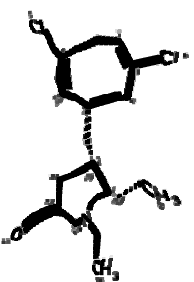 C[C@H]1[C@@H](c2cc(Cl)cc(Cl)c2)CC(=O)N1C